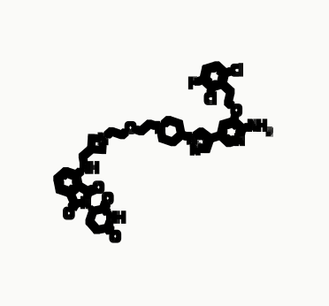 Nc1ncc(-c2cnn(C3CCN(CCOCCN4CC(CNc5cccc6c5C(=O)N([C@H]5CCC(=O)NC5=O)C6=O)C4)CC3)c2)cc1OCCc1c(Cl)ccc(F)c1Cl